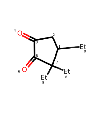 CCC1CC(=O)C(=O)C1(CC)CC